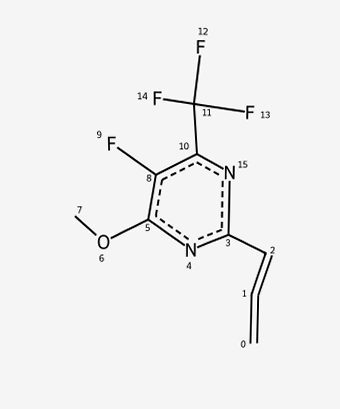 C=C=Cc1nc(OC)c(F)c(C(F)(F)F)n1